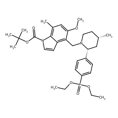 CCOP(=O)(OCC)c1ccc([C@H]2C[C@@H](C)CCN2Cc2c(OC)cc(C)c3c2ccn3C(=O)OC(C)(C)C)cc1